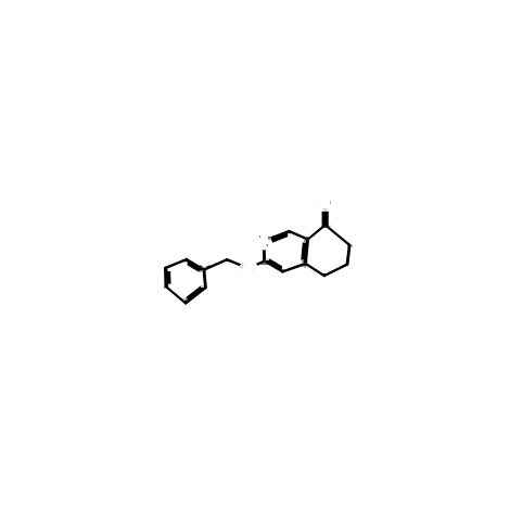 O=C1CCCc2cc(OCc3ccccc3)ncc21